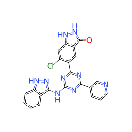 O=c1[nH][nH]c2cc(Cl)c(-c3nc(Nc4n[nH]c5ccccc45)nc(-c4cccnc4)n3)cc12